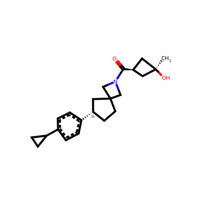 C[C@]1(O)C[C@@H](C(=O)N2CC3(CC[C@H](c4ccc(C5CC5)cc4)C3)C2)C1